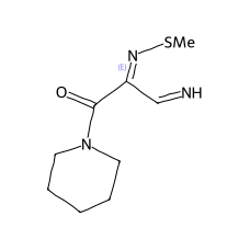 CS/N=C(\C=N)C(=O)N1CCCCC1